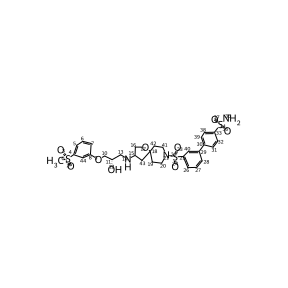 CS(=O)(=O)c1cccc(OC[C@@H](O)CNC2COC3(CCN(S(=O)(=O)c4cccc(-c5ccc(S(N)(=O)=O)cc5)c4)CC3)C2)c1